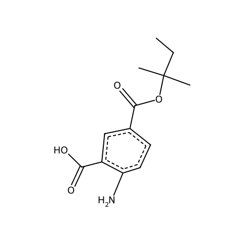 CCC(C)(C)OC(=O)c1ccc(N)c(C(=O)O)c1